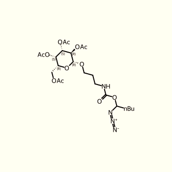 CCCCC(N=[N+]=[N-])OC(=O)NCCCO[C@@H]1O[C@H](COC(C)=O)[C@H](OC(C)=O)[C@H](OC(C)=O)[C@H]1OC(C)=O